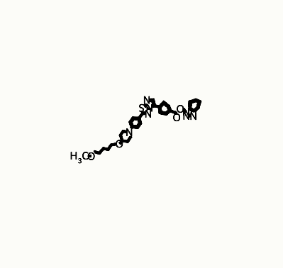 COCCCCCOC1CCN(c2ccc(-c3nn4c(-c5ccc(C(=O)On6nnc7ccccc76)cc5)cnc4s3)cc2)CC1